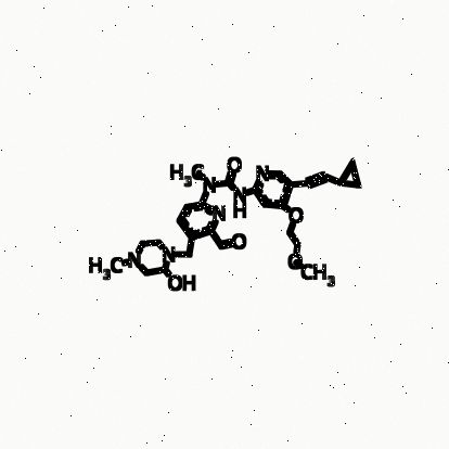 COCCOc1cc(NC(=O)N(C)c2ccc(CN3CCN(C)CC3O)c(C=O)n2)ncc1C#CC1CC1